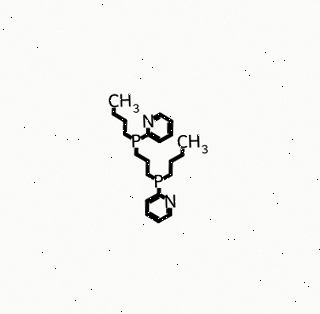 CCCCP(CCCP(CCCC)c1ccccn1)c1ccccn1